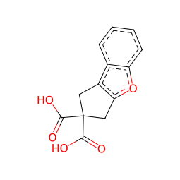 O=C(O)C1(C(=O)O)Cc2oc3ccccc3c2C1